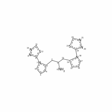 NC(Cc1cccn1-c1nncs1)Cc1cccn1-c1nncs1